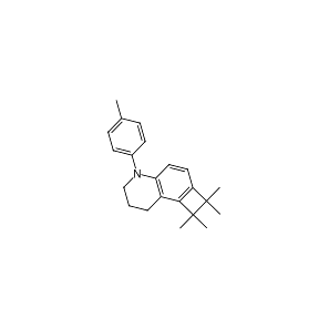 Cc1ccc(N2CCCc3c2ccc2c3C(C)(C)C2(C)C)cc1